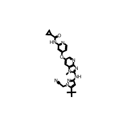 Cn1c(Nc2cc(C(C)(C)C)n(CC#N)n2)nc2ncc(Oc3ccnc(NC(=O)C4CC4)c3)cc21